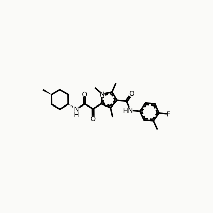 Cc1cc(NC(=O)c2c(C)c(C(=O)C(=O)N[C@H]3CC[C@H](C)CC3)n(C)c2C)ccc1F